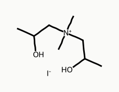 CC(O)C[N+](C)(C)CC(C)O.[I-]